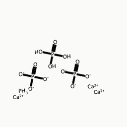 O=P(O)(O)O.O=P([O-])([O-])[O-].O=P([O-])([O-])[O-].P.[Ca+2].[Ca+2].[Ca+2]